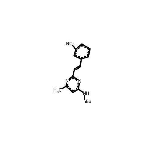 CCCCNc1cc(C)nc(C=Cc2cccc(C#N)c2)n1